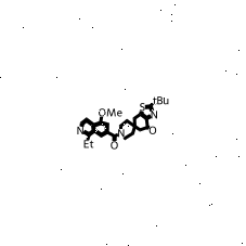 CCc1nccc2c(OC)cc(C(=O)N3CCC4(CC3)CC(=O)c3nc(C(C)(C)C)sc3C4)cc12